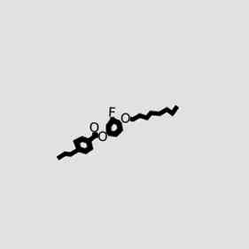 CCCCCCCCOc1ccc(OC(=O)c2ccc(CCC)cc2)cc1F